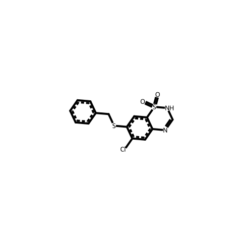 O=S1(=O)NC=Nc2cc(Cl)c(SCc3ccccc3)cc21